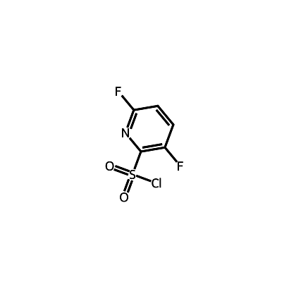 O=S(=O)(Cl)c1nc(F)ccc1F